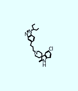 C=C1Nc2ccc(Cl)cc2C12CCN(CCCc1ccc3c(c1)ncn3C(CC)CC)CC2